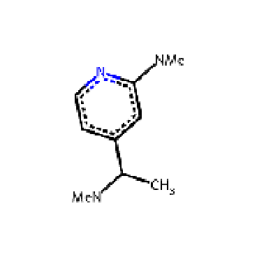 CNc1cc(C(C)NC)ccn1